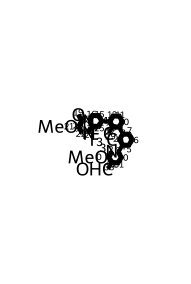 COc1nc(-c2cccc(-c3cccc(-c4ccn5c(=O)c(OC)cnc5c4)c3C)c2C(F)(F)F)ccc1C=O